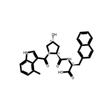 Cc1cccc2[nH]cc(C(=O)N3C[C@H](O)C[C@H]3C(=O)N[C@@H](Cc3ccc4ccccc4c3)C(=O)O)c12